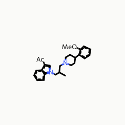 COc1ccccc1C1CCN(CC(C)Cn2cc(C(C)=O)c3ccccc32)CC1